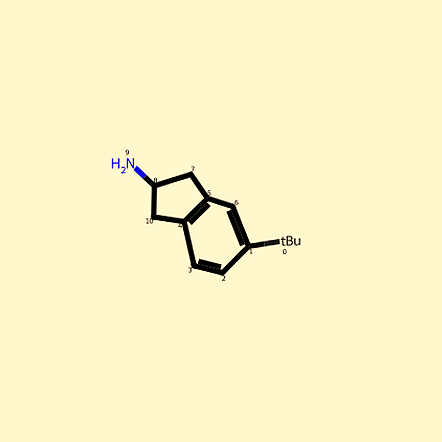 CC(C)(C)c1ccc2c(c1)CC(N)C2